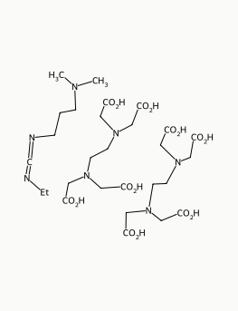 CCN=C=NCCCN(C)C.O=C(O)CN(CCN(CC(=O)O)CC(=O)O)CC(=O)O.O=C(O)CN(CCN(CC(=O)O)CC(=O)O)CC(=O)O